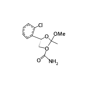 COC(C)(C)O[C@H](COC(N)=O)c1ccccc1Cl